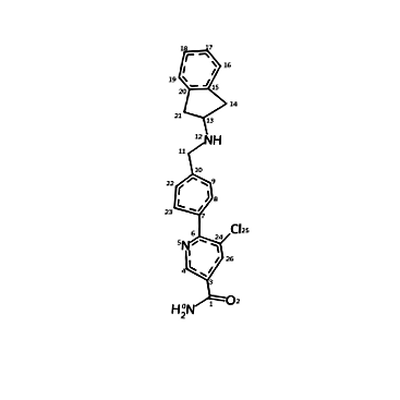 NC(=O)c1cnc(-c2ccc(CNC3Cc4ccccc4C3)cc2)c(Cl)c1